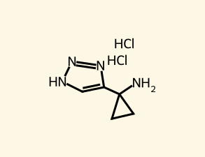 Cl.Cl.NC1(c2c[nH]nn2)CC1